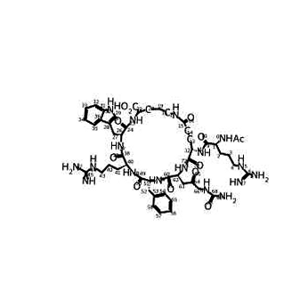 CC(=O)N[C@@H](CCCNC(=N)N)C(=O)N[C@H]1CCC(=O)NCCC[C@@H](C(=O)O)NC(=O)[C@H](Cc2c[nH]c3ccccc23)NC(=O)[C@H](CCCNC(=N)N)NC(=O)[C@@H](Cc2ccccc2)NC(=O)[C@H](CC(=O)CNC(N)=O)NC1=O